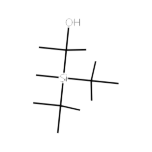 CC(C)(C)[Si](C)(C(C)(C)C)C(C)(C)O